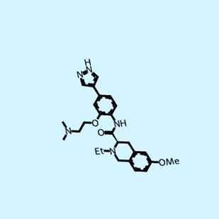 CCN1Cc2ccc(OC)cc2C[C@@H]1C(=O)Nc1ccc(-c2cn[nH]c2)cc1OCCN(C)C